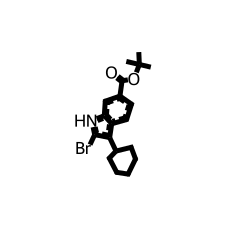 CC(C)(C)OC(=O)c1ccc2c(C3CCCCC3)c(Br)[nH]c2c1